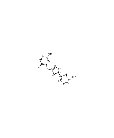 Cc1ccc(Br)cc1Cc1ccc(-c2cccc(F)n2)s1